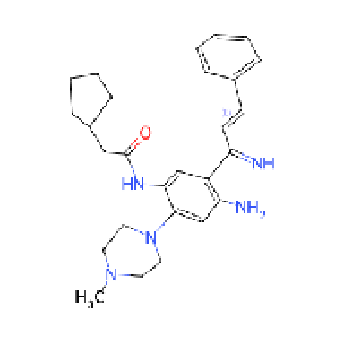 CN1CCN(c2cc(N)c(C(=N)/C=C/c3ccccc3)cc2NC(=O)CC2CCCC2)CC1